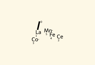 [CH3][La].[Ce].[Co].[Fe].[Mn]